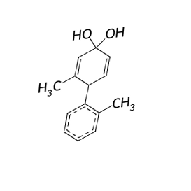 CC1=CC(O)(O)C=CC1c1ccccc1C